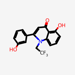 O=c1cc(-c2cccc(O)c2)n(CC(F)(F)F)c2cccc(O)c12